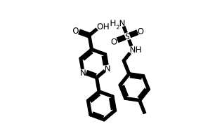 Cc1ccc(CNS(N)(=O)=O)cc1.O=C(O)c1cnc(-c2ccccc2)nc1